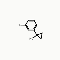 CCc1cccc(C2(C#N)CC2)c1